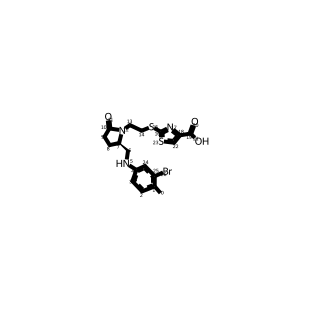 Cc1ccc(NC[C@H]2CCC(=O)N2CCSc2nc(C(=O)O)cs2)cc1Br